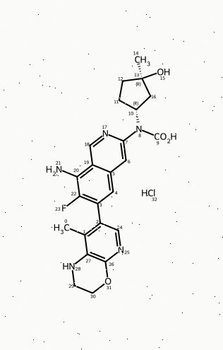 Cc1c(-c2cc3cc(N(C(=O)O)[C@@H]4CC[C@@](C)(O)C4)ncc3c(N)c2F)cnc2c1NCCO2.Cl